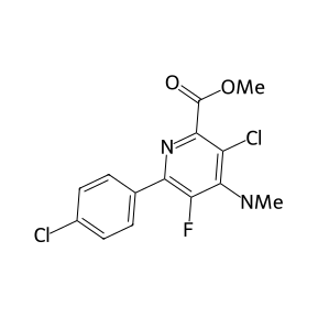 CNc1c(F)c(-c2ccc(Cl)cc2)nc(C(=O)OC)c1Cl